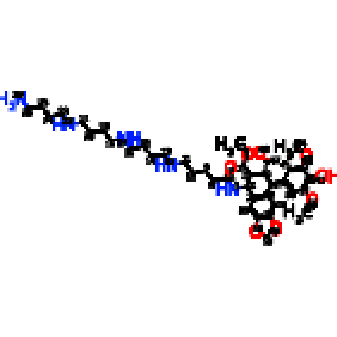 COC[C@@H]1[C@H](NC(=O)CCCCNCCCCNCCCCNCCCCN)c2cc3c(cc2C(c2cc(OC)c(O)c(OC)c2)[C@H]1C=O)OCO3